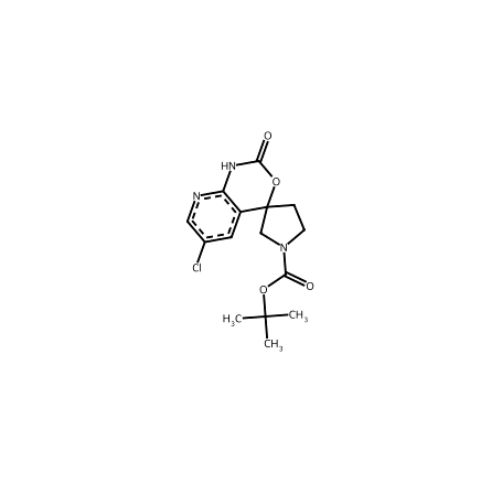 CC(C)(C)OC(=O)N1CCC2(C1)OC(=O)Nc1ncc(Cl)cc12